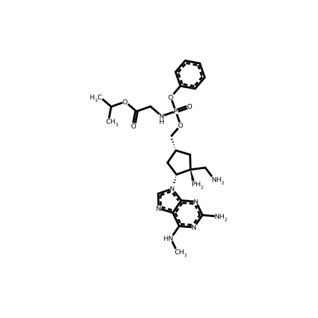 CNc1nc(N)nc2c1ncn2[C@@H]1C[C@H](COP(=O)(NCC(=O)OC(C)C)Oc2ccccc2)C[C@]1(P)CN